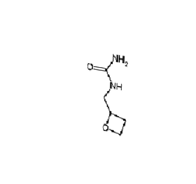 NC(=O)NCC1CCO1